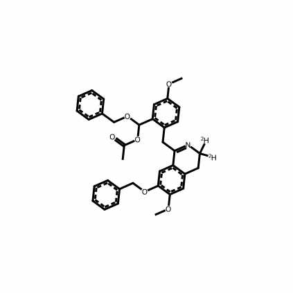 [2H]C1([2H])Cc2cc(OC)c(OCc3ccccc3)cc2C(Cc2ccc(OC)cc2C(OCc2ccccc2)OC(C)=O)=N1